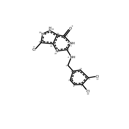 O=c1[nH]c(NCc2ccc(Cl)c(Cl)c2)nc2c(Cl)n[nH]c12